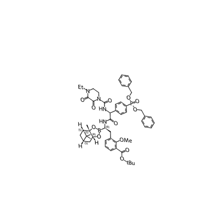 CCN1CCN(C(=O)NC(C(=O)N[C@@H](Cc2cccc(C(=O)OC(C)(C)C)c2OC)B2O[C@@H]3C[C@@H]4C[C@@H](C4(C)C)[C@]3(C)O2)c2ccc(P(=O)(OCc3ccccc3)OCc3ccccc3)cc2)C(=O)C1=O